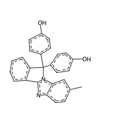 Cc1ccc2nc3n(c2c1)C(c1ccc(O)cc1)(c1ccc(O)cc1)c1ccccc1-3